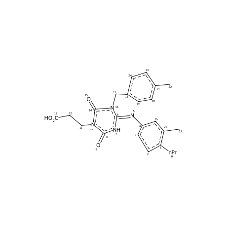 CCCc1ccc(/N=c2\[nH]c(=O)n(CCC(=O)O)c(=O)n2Cc2ccc(C)cc2)cc1C